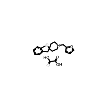 O=C(O)C(=O)O.c1coc(CN2CCC3(CC2)Cc2ccccc2O3)c1